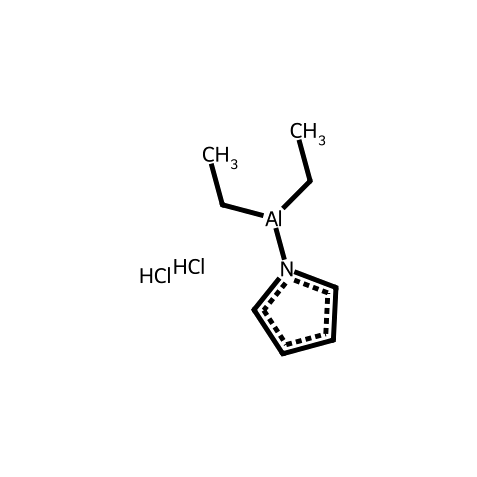 C[CH2][Al]([CH2]C)[n]1cccc1.Cl.Cl